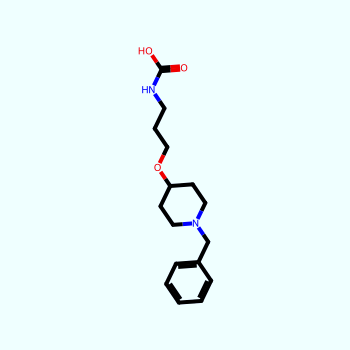 O=C(O)NCCCOC1CCN(Cc2ccccc2)CC1